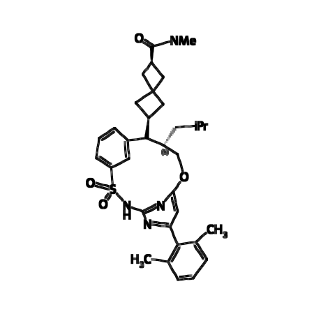 CNC(=O)[C@H]1CC2(C1)C[C@H](C1c3cccc(c3)S(=O)(=O)Nc3nc(cc(-c4c(C)cccc4C)n3)OC[C@H]1CC(C)C)C2